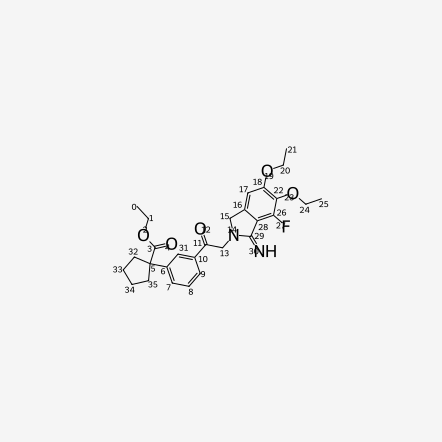 CCOC(=O)C1(c2cccc(C(=O)CN3Cc4cc(OCC)c(OCC)c(F)c4C3=N)c2)CCCC1